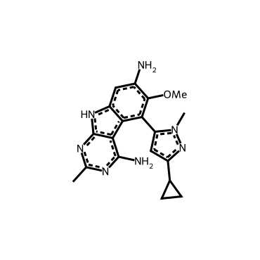 COc1c(N)cc2[nH]c3nc(C)nc(N)c3c2c1-c1cc(C2CC2)nn1C